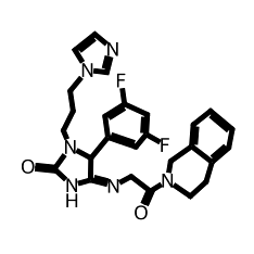 O=C(CN=C1NC(=O)N(CCCn2ccnc2)C1c1cc(F)cc(F)c1)N1CCc2ccccc2C1